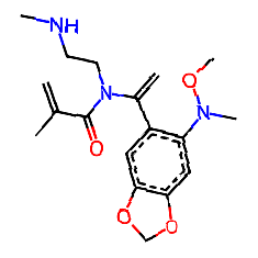 C=C(C)C(=O)N(CCNC)C(=C)c1cc2c(cc1N(C)OC)OCO2